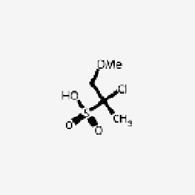 COCC(C)(Cl)S(=O)(=O)O